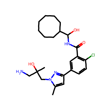 Cc1cc(-c2ccc(Cl)c(C(=O)NC(O)C3CCCCCCC3)c2)nn1CC(C)(O)CN